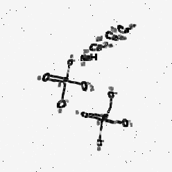 O=P([O-])([O-])[O-].O=P([O-])([O-])[O-].[Ca+2].[Ca+2].[Ca+2].[NaH]